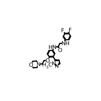 Cn1nccc1-c1cc(NC(=O)CNc2ccc(F)c(F)c2)ccc1OCCN1CCOCC1